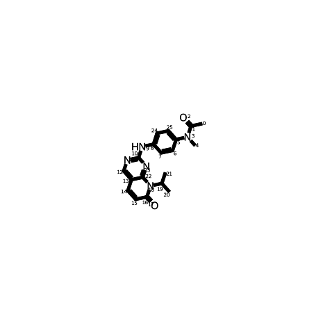 CC(=O)N(C)c1ccc(Nc2ncc3ccc(=O)n(C(C)C)c3n2)cc1